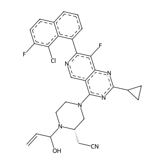 C=CC(O)N1CCN(c2nc(C3CC3)nc3c(F)c(-c4cccc5ccc(F)c(Cl)c45)ncc23)C[C@@H]1CC#N